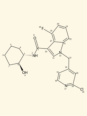 O=C(N[C@H]1CCCC[C@@H]1O)c1cn(Cc2ccnc(Cl)c2)c2cccc(F)c12